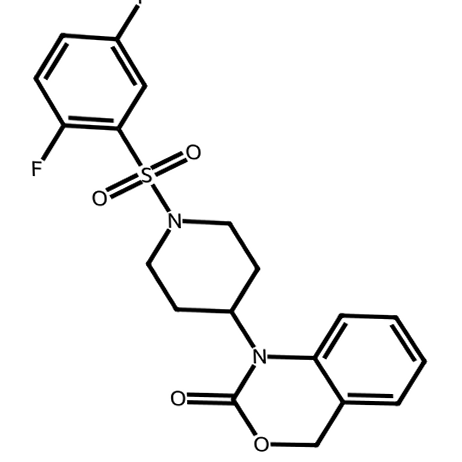 O=C1OCc2ccccc2N1C1CCN(S(=O)(=O)c2cc(F)ccc2F)CC1